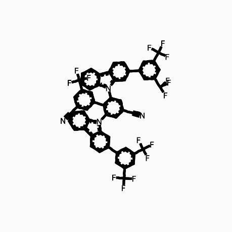 N#Cc1cc(-c2c(-n3c4ccccc4c4ccc(-c5cc(C(F)(F)F)cc(C(F)(F)F)c5)cc43)cc(C#N)cc2-n2c3ccccc3c3ccc(-c4cc(C(F)(F)F)cc(C(F)(F)F)c4)cc32)cc(C(F)(F)F)c1